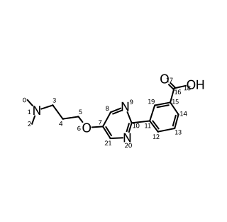 CN(C)CCCOc1cnc(-c2cccc(C(=O)O)c2)nc1